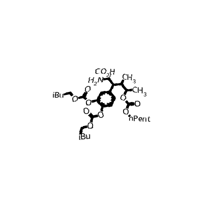 CCCCCOC(=O)OC(C)C(C)C(c1ccc(OC(=O)OCC(C)CC)c(OC(=O)OCC(C)CC)c1)[C@H](N)C(=O)O